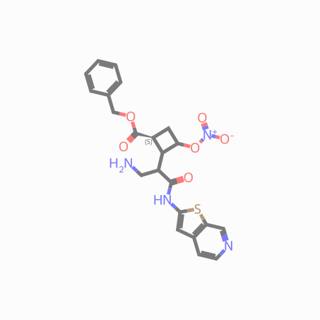 NCC(C(=O)Nc1cc2ccncc2s1)C1C(O[N+](=O)[O-])C[C@@H]1C(=O)OCc1ccccc1